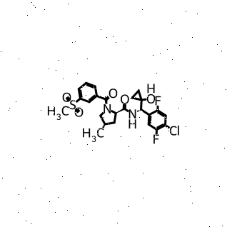 C[C@@H]1C[C@H](C(=O)N[C@@H](c2cc(F)c(Cl)cc2F)C2(O)CC2)N(C(=O)c2cccc(S(C)(=O)=O)c2)C1